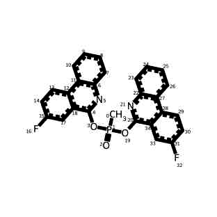 CP(=O)(Oc1nc2ccccc2c2ccc(F)cc12)Oc1nc2ccccc2c2ccc(F)cc12